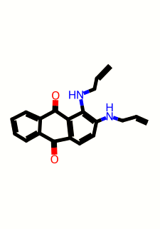 C=CCNc1ccc2c(c1NCC=C)C(=O)c1ccccc1C2=O